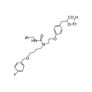 CCOC(Cc1ccc(OCCN(CCCCOCc2ccc(F)cc2)C(=O)NCC(C)C)cc1)C(=O)O